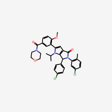 COc1ccc(C(=O)N2CCOCC2)cc1-c1cc2c(n1C(C)C)C(c1ccc(Cl)cc1)N(c1cc(Cl)ccc1C)C2=O